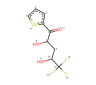 O=C(c1cccs1)C(O)CC(O)C(F)(F)F